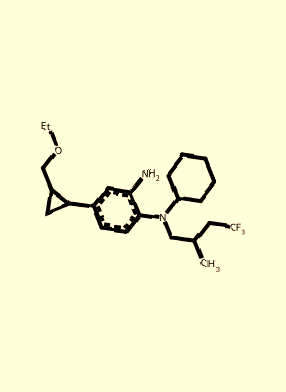 CCOCC1CC1c1ccc(N(CC(C)CC(F)(F)F)C2CCCCC2)c(N)c1